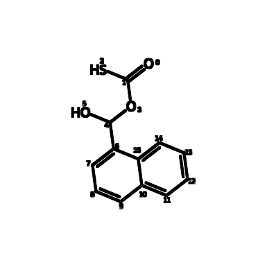 O=C(S)OC(O)c1cccc2ccccc12